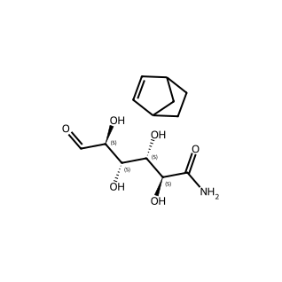 C1=CC2CCC1C2.NC(=O)[C@@H](O)[C@@H](O)[C@H](O)[C@H](O)C=O